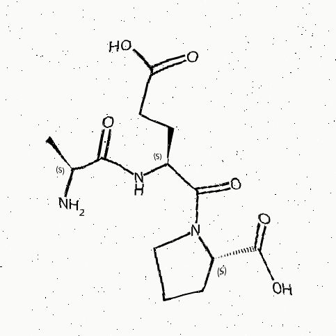 C[C@H](N)C(=O)N[C@@H](CCC(=O)O)C(=O)N1CCC[C@H]1C(=O)O